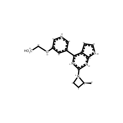 C[C@H]1CCN1c1nc(-c2cncc(OCC(=O)O)c2)c2ccsc2n1